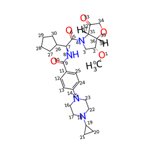 CO[C@@H]1CN(C(=O)[C@@H](NC(=O)c2ccc(N3CCN(C4CC4)CC3)cc2)C2CCCC2)[C@@H]2C(=O)CO[C@@H]21